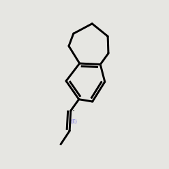 C/C=[C]/c1ccc2c(c1)CCCCC2